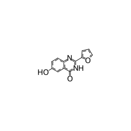 O=c1[nH]c(-c2ccco2)nc2ccc(O)cc12